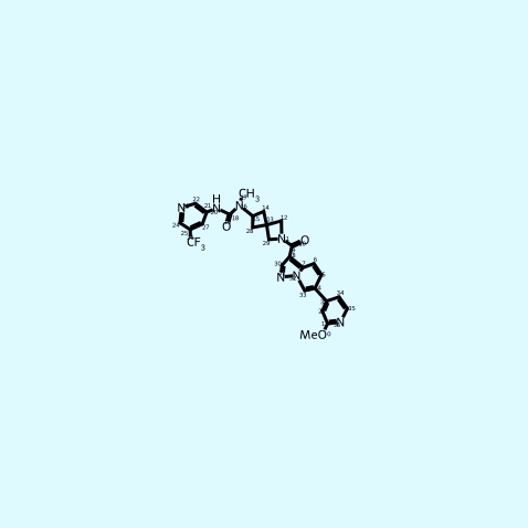 COc1cc(-c2ccc3c(C(=O)N4CC5(CC(N(C)C(=O)Nc6cncc(C(F)(F)F)c6)C5)C4)cnn3c2)ccn1